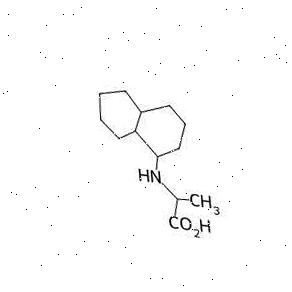 CC(NC1CCCC2CCCCC21)C(=O)O